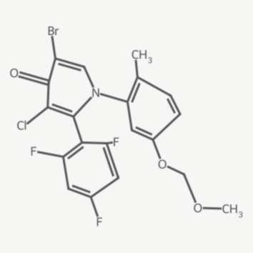 COCOc1ccc(C)c(-n2cc(Br)c(=O)c(Cl)c2-c2c(F)cc(F)cc2F)c1